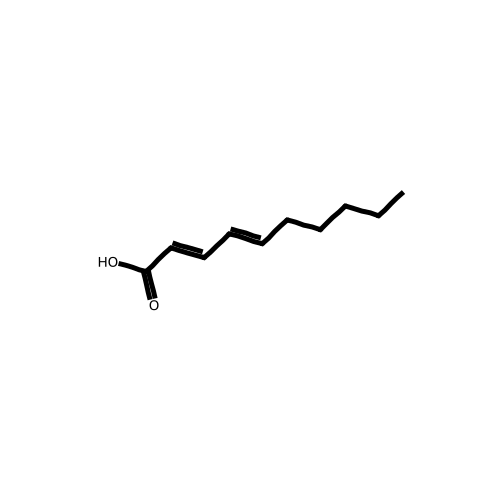 CCCCCC=CC=CC(=O)O